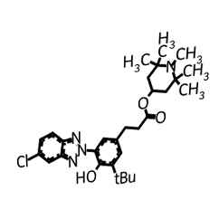 CN1C(C)(C)CC(OC(=O)CCc2cc(-n3nc4ccc(Cl)cc4n3)c(O)c(C(C)(C)C)c2)CC1(C)C